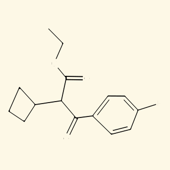 CCOC(=O)C(C(=O)c1ccc(F)cc1)C1CCC1